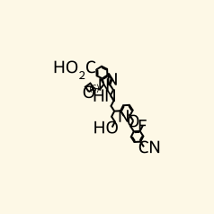 N#Cc1ccc(COc2cccc(C(CCO)CCNCc3nc4ccc(C(=O)O)cc4n3C[C@@H]3CCO3)n2)c(F)c1